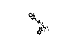 O=C(N[C@@H](CCO[C@H]1C[C@H](CCc2ccc3c(n2)NCCC3)C1)C(=O)O)c1ccccc1